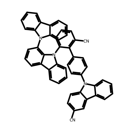 N#Cc1ccc2c(c1)c1ccccc1n2-c1ccc(-c2c(C#N)cccc2-n2c3ccccc3c3cccc(-n4c5ccccc5c5ccccc54)c32)cc1